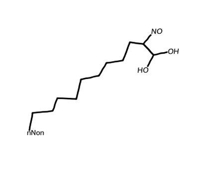 CCCCCCCCCCCCCCCCCCC(N=O)C(O)O